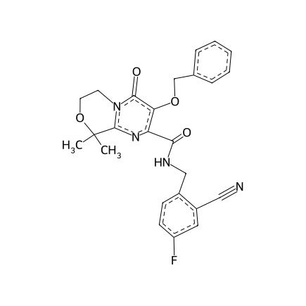 CC1(C)OCCn2c1nc(C(=O)NCc1ccc(F)cc1C#N)c(OCc1ccccc1)c2=O